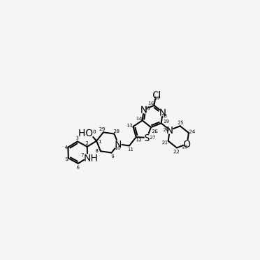 OC1(C2C=CC=CN2)CCN(Cc2cc3nc(Cl)nc(N4CCOCC4)c3s2)CC1